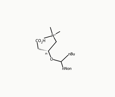 CCCCCCCCCC(CCCC)O[C@H](CC(=O)O)C[N+](C)(C)C